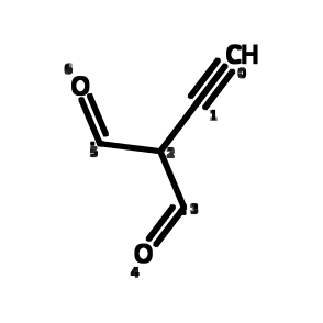 C#CC([C]=O)[C]=O